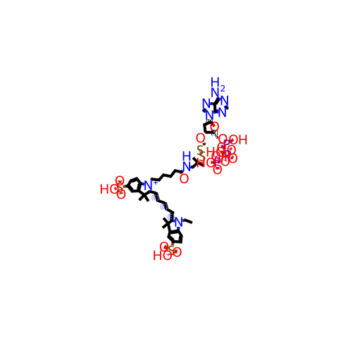 CCN1/C(=C/C=C/C=C/C2=[N+](CCCCCC(=O)NCC(C)(C)SSCOC3C[C@H](n4cnc5c(N)ncnc54)O[C@@H]3COP(=O)(O)OP(=O)(O)OP(=O)(O)O)c3ccc(S(=O)(=O)O)cc3C2(C)C)C(C)(C)c2cc(S(=O)(=O)O)ccc21